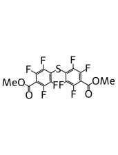 COC(=O)c1c(F)c(F)c(Sc2c(F)c(F)c(C(=O)OC)c(F)c2F)c(F)c1F